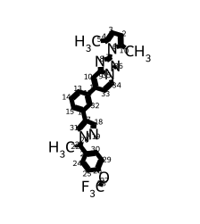 Cc1ccc(C)n1-c1nc2cc(-c3cccc(-c4cnn([C@H](C)c5ccc(OC(F)(F)F)cc5)c4)c3)ccn2n1